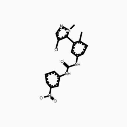 Cc1ccc(NC(=O)Nc2cccc([N+](=O)[O-])c2)cc1-c1c(Cl)cnn1C